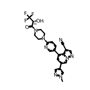 Cn1cc(-c2cc(-c3ccc(N4CCN(C(=O)[C@H](O)C(F)(F)F)CC4)nc3)c3c(C#N)cnn3c2)cn1